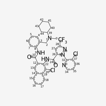 CN(Cc1ccccc1NC(=O)c1cc2ccccc2c(Cl)c1NC(=O)c1cc(C(F)(F)F)nn1-c1ncccc1Cl)C1CCCCC1